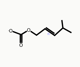 CC(C)/C=C/COC([O])=O